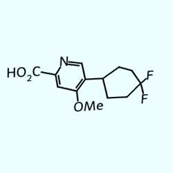 COc1cc(C(=O)O)ncc1C1CCC(F)(F)CC1